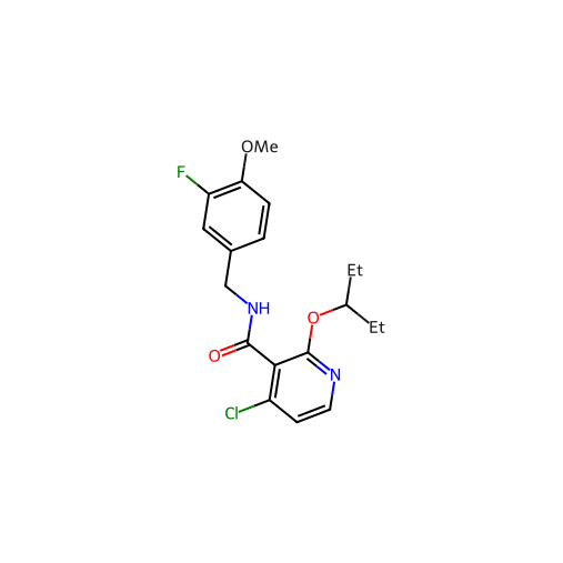 CCC(CC)Oc1nccc(Cl)c1C(=O)NCc1ccc(OC)c(F)c1